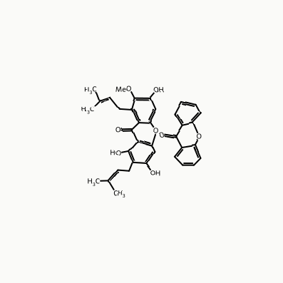 COc1c(O)cc2oc3cc(O)c(CC=C(C)C)c(O)c3c(=O)c2c1CC=C(C)C.O=c1c2ccccc2oc2ccccc12